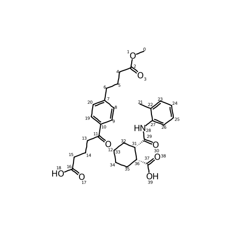 COC(=O)CCCc1ccc(C(=O)CCCC(=O)O)cc1.Cc1ccccc1NC(=O)[C@H]1CCCC[C@H]1C(=O)O